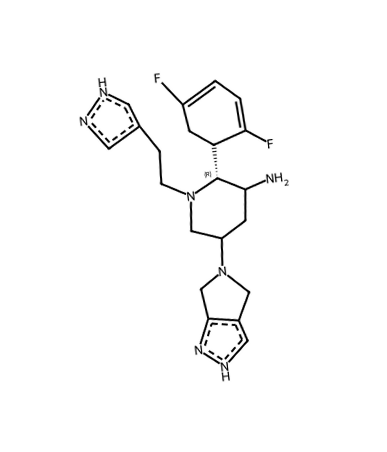 NC1CC(N2Cc3c[nH]nc3C2)CN(CCc2cn[nH]c2)[C@@H]1C1CC(F)=CC=C1F